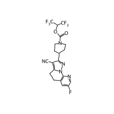 N#Cc1c(C2CCN(C(=O)OC(C(F)(F)F)C(F)(F)F)CC2)nn2c1CCc1cc(F)cnc1-2